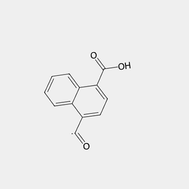 O=[C]c1ccc(C(=O)O)c2ccccc12